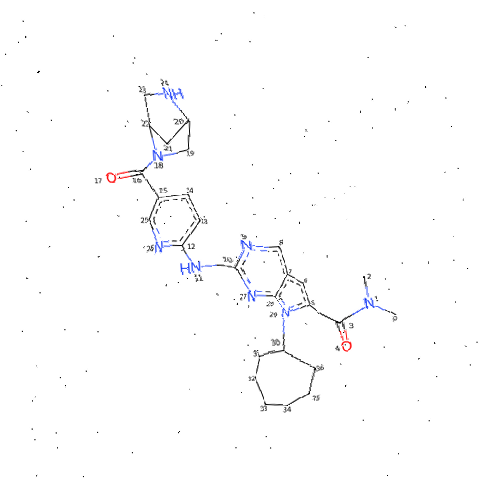 CN(C)C(=O)c1cc2cnc(Nc3ccc(C(=O)N4CC5CC4CN5)cn3)nc2n1C1CCCCCC1